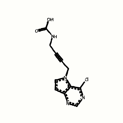 O=C(O)NCC#CCn1ccc2ncnc(Cl)c21